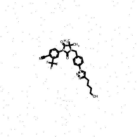 CC1(C)C(=O)N(c2ccc(C#N)c(C(F)(F)F)c2)C(=O)N1Cc1ccc(-n2cc(CCCCO)nn2)cc1